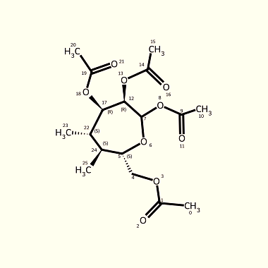 CC(=O)OC[C@H]1OC(OC(C)=O)[C@H](OC(C)=O)[C@H](OC(C)=O)[C@@H](C)[C@@H]1C